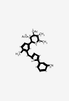 CC(=O)O[C@H]1[C@H](C)[C@@H](C)OC(c2ccc(C)c(Cc3ccc(-c4cccc(C#N)c4)s3)c2)[C@@H]1OC(C)=O